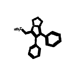 O=C(O)Cc1c(-c2ccccc2)c(-c2ccccc2)c2n1CCC2